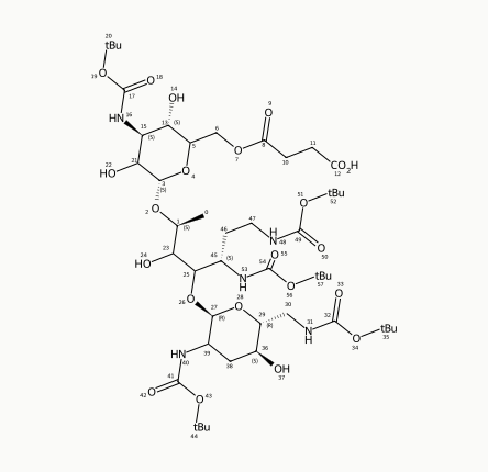 C[C@H](O[C@H]1OC(COC(=O)CCC(=O)O)[C@@H](O)[C@H](NC(=O)OC(C)(C)C)C1O)C(O)C(O[C@H]1O[C@H](CNC(=O)OC(C)(C)C)[C@@H](O)CC1NC(=O)OC(C)(C)C)[C@H](CCNC(=O)OC(C)(C)C)NC(=O)OC(C)(C)C